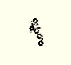 C[C@@H]1CCC[C@H](COC(=O)N2CCCC(N3CCN(Cc4ccccc4)CC3)C2)N1S(=O)(=O)c1ccc(Cl)cc1